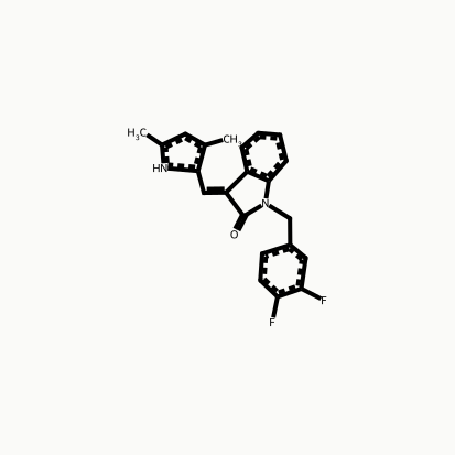 Cc1cc(C)c(C=C2C(=O)N(Cc3ccc(F)c(F)c3)c3ccccc32)[nH]1